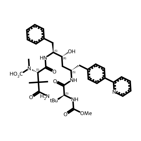 COC(=O)N[C@H](C(=O)N[C@@H](Cc1ccc(-c2ccccn2)cc1)C[C@@H](O)[C@H](Cc1ccccc1)NC(=O)[C@@H](N(C)C(=O)O)C(C)(C)C(N)=O)C(C)(C)C